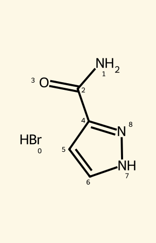 Br.NC(=O)c1cc[nH]n1